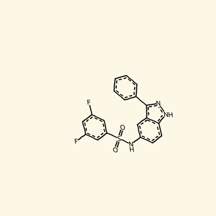 O=S(=O)(Nc1ccc2[nH]nc(-c3ccccc3)c2c1)c1cc(F)cc(F)c1